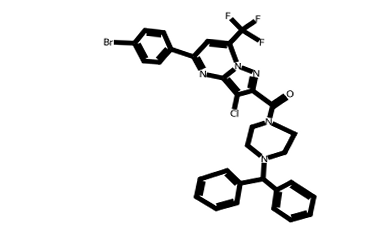 O=C(c1nn2c(C(F)(F)F)cc(-c3ccc(Br)cc3)nc2c1Cl)N1CCN(C(c2ccccc2)c2ccccc2)CC1